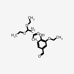 CC=O.CCOC(C)OCC.CCOc1cc(C=O)ccc1O